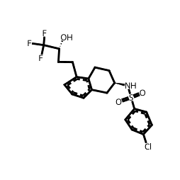 O=S(=O)(N[C@@H]1CCc2c(CC[C@@H](O)C(F)(F)F)cccc2C1)c1ccc(Cl)cc1